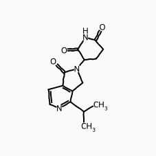 CC(C)c1nccc2c1CN(C1CCC(=O)NC1=O)C2=O